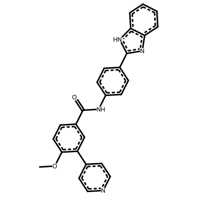 COc1ccc(C(=O)Nc2ccc(-c3nc4ccccc4[nH]3)cc2)cc1-c1ccncc1